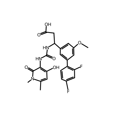 COc1cc(-c2ccc(F)cc2F)cc(C(CC(=O)O)NC(=O)Nc2c(O)cc(C)n(C)c2=O)c1